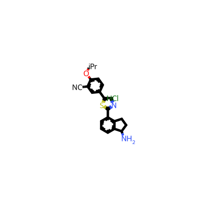 CC(C)Oc1ccc(-c2cnc(-c3cccc4c3CCC4N)s2)cc1C#N.Cl